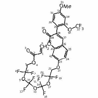 C=CC(=O)OCC(F)(F)OC(F)(F)OC(F)(F)OC(F)(F)COc1ccc2cc(-c3ccc(OC)cc3OC(F)(F)F)c(=O)oc2c1